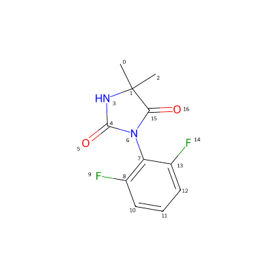 CC1(C)NC(=O)N(c2c(F)cccc2F)C1=O